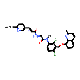 CCN(C(=O)CNC(=O)/C=C/c1ccc(NC(C)=O)nc1)c1ccc(Cl)c(COc2cccc3ccc(C)nc23)c1Cl